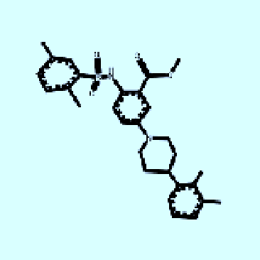 COC(=O)c1cc(N2CCC(c3cccc(C)c3C)CC2)ccc1NS(=O)(=O)c1cc(C)ccc1C